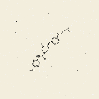 COc1cnc(NC(=O)N2CCC(=Cc3cccc(OCCC4CC4)c3)C(C)C2)cn1